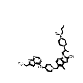 Cc1c(CN2CCC(Nc3ncnc4sc(CC(F)(F)F)cc34)CC2)ccc2c1cc(C#N)n2CC(C)N1CCN([S+]([O-])CCF)CC1